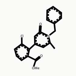 COC(=O)c1cccc(Cl)c1-c1cc(C)n(Cc2ccccc2)c(=O)c1